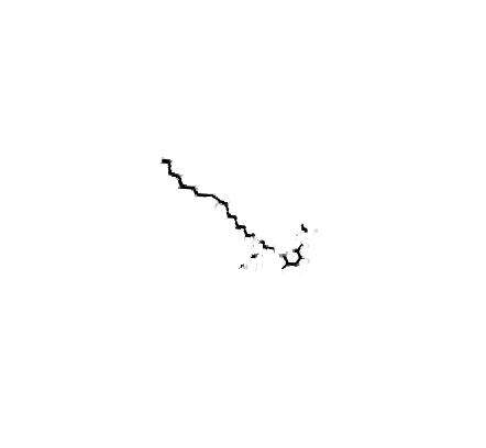 CCCCCCCCCCCCCCCCOCC(CO[C@@H]1OC(COC(C)=O)[C@@H](C)[C@H](C)C1C)NC(=O)OC